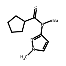 CCCCN(C(=O)C1CCCC1)c1ccn(C)n1